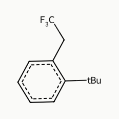 CC(C)(C)c1ccccc1CC(F)(F)F